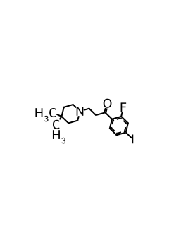 CC1(C)CCN(CCC(=O)c2ccc(I)cc2F)CC1